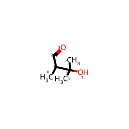 CC(C=O)C(C)(C)O